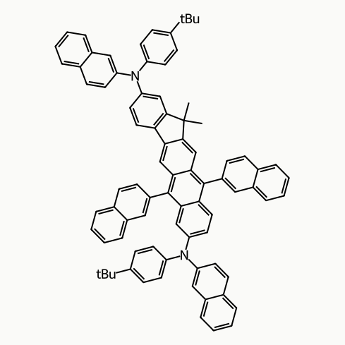 CC(C)(C)c1ccc(N(c2ccc3c(c2)C(C)(C)c2cc4c(-c5ccc6ccccc6c5)c5ccc(N(c6ccc(C(C)(C)C)cc6)c6ccc7ccccc7c6)cc5c(-c5ccc6ccccc6c5)c4cc2-3)c2ccc3ccccc3c2)cc1